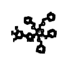 Fc1cc(-c2cn(C3C(OCc4ccccc4)[C@H](Sc4ccccc4)OC(COCc4ccccc4)[C@@H]3OCc3ccccc3)nn2)cc(F)c1F